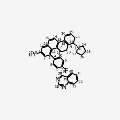 CC(C)c1cc(-c2ccc(F)cc2)c2c3c(ccc2c1)C1=C(CC3)C(N2CCCC2)CC=C1.c1ccc2ncncc2c1